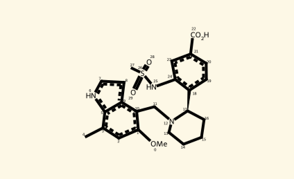 COc1cc(C)c2[nH]ccc2c1CN1CCCC[C@@H]1c1ccc(C(=O)O)cc1NS(C)(=O)=O